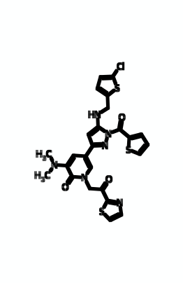 CN(C)c1cc(-c2cc(NCc3ccc(Cl)s3)n(C(=O)c3cccs3)n2)cn(CC(=O)c2nccs2)c1=O